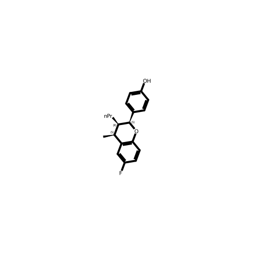 CCC[C@@H]1[C@H](C)c2cc(F)ccc2O[C@@H]1c1ccc(O)cc1